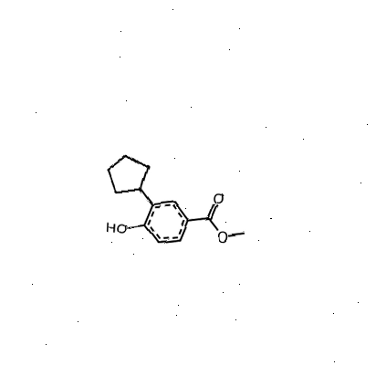 COC(=O)c1ccc(O)c(C2CCCC2)c1